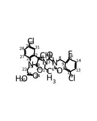 CCN(C(=O)N(C=O)Cc1cc(Cl)ccc1F)[C@]1(C)C(=O)N(CC(=O)O)c2ccc(Cl)cc21